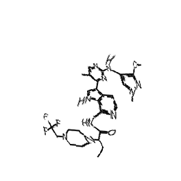 CCC(C(=O)Nc1nccc2c(-c3nc(Nc4cn(C)nc4OC)ncc3C)c[nH]c12)N1CCN(CC(F)(F)F)CC1